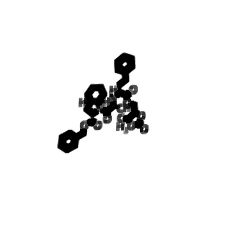 CC1OC(=O)OC1COC(=O)[C@H](CCc1ccccc1)N[C@@H](C)C(=O)N1[C@H](C(=O)OCc2ccccc2)C[C@H]2CCCC[C@@H]21